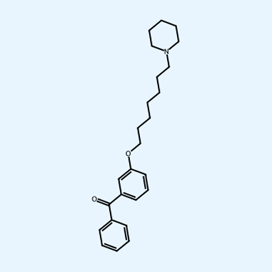 O=C(c1ccccc1)c1cccc(OCCCCCCCN2CCCCC2)c1